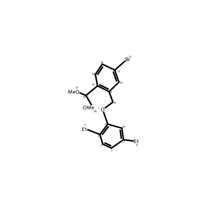 CCc1ccc(CC)c(OCc2cc(Br)ccc2C(OC)OC)c1